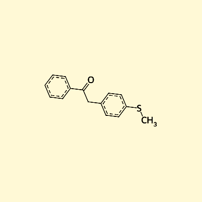 CSc1ccc(CC(=O)c2ccccc2)cc1